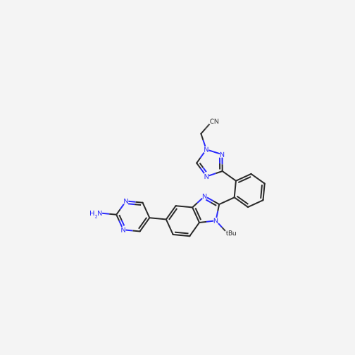 CC(C)(C)n1c(-c2ccccc2-c2ncn(CC#N)n2)nc2cc(-c3cnc(N)nc3)ccc21